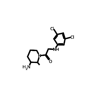 CC1C(N)CCCN1C(=O)CNc1cc(Cl)cc(Cl)c1